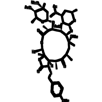 CC[C@H]1OC(=O)[C@H](C)[C@@H](O[C@H]2C[C@@](C)(OC)[C@@H](OC(C)=O)[C@H](C)O2)[C@H](C)[C@@H](O[C@@H]2O[C@H](C)C[C@H](N(C)C(C)=O)[C@H]2OC(C)=O)[C@](C)(OC)C[C@@H](C)C(=O)[C@H](C)[C@H]2C(SCc3ccc(OC)cc3)C(=O)O[C@@]21C